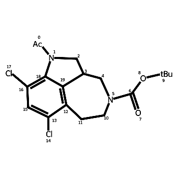 CC(=O)N1CC2CN(C(=O)OC(C)(C)C)CCc3c(Cl)cc(Cl)c1c32